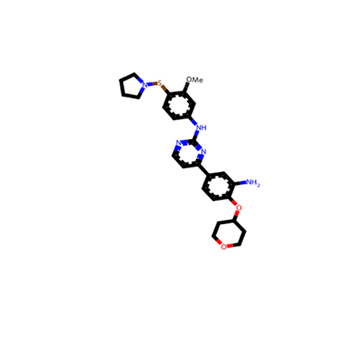 COc1cc(Nc2nccc(-c3ccc(OC4CCOCC4)c(N)c3)n2)ccc1SN1CCCC1